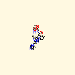 COC(CNC(=O)CC1CCCCN1c1cc(C)nc(CCn2ccnc2)n1)OC